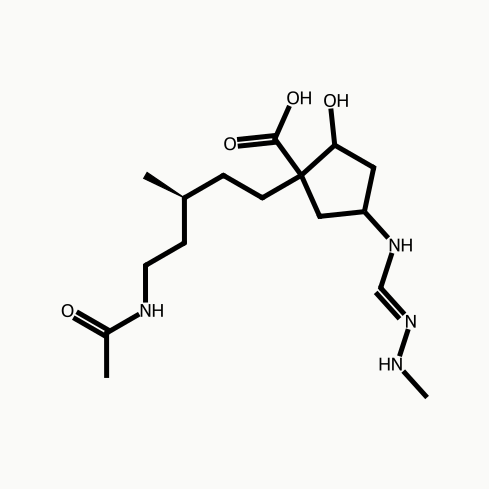 CNN=CNC1CC(O)C(CC[C@H](C)CCNC(C)=O)(C(=O)O)C1